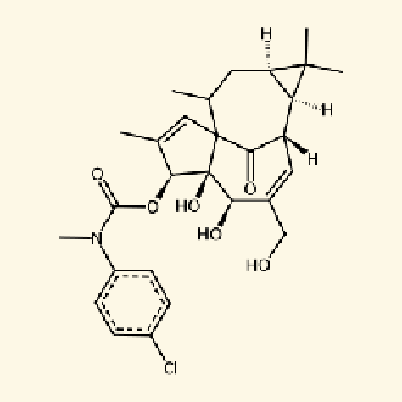 CC1=CC23C(=O)[C@@H](C=C(CO)[C@@H](O)[C@]2(O)[C@H]1OC(=O)N(C)c1ccc(Cl)cc1)[C@H]1[C@@H](CC3C)C1(C)C